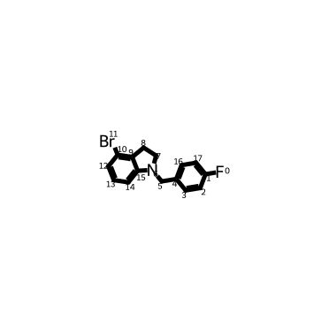 Fc1ccc(CN2CCc3c(Br)cccc32)cc1